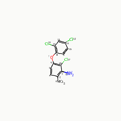 Nc1c([N+](=O)[O-])ccc(Oc2ccc(Cl)cc2Cl)c1Cl